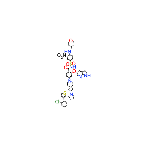 O=C(NS(=O)(=O)c1ccc(NCC2CCOCC2)c([N+](=O)[O-])c1)c1ccc(N2CCC3(CC2)CC(N2CCCC2c2sccc2-c2ccccc2Cl)C3)cc1Oc1cnc2[nH]ccc2c1